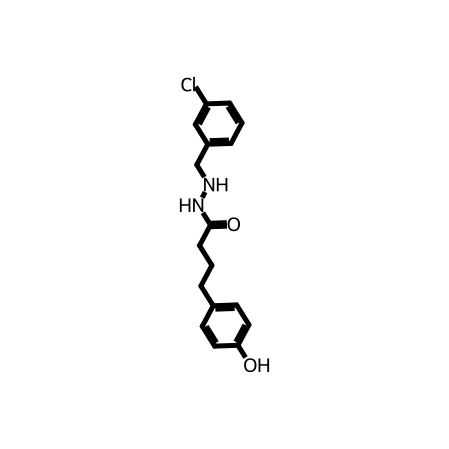 O=C(CCCc1ccc(O)cc1)NNCc1cccc(Cl)c1